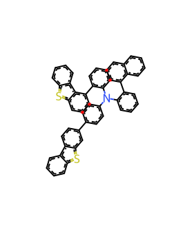 c1ccc(N(c2ccc(-c3ccc4c(c3)sc3ccccc34)cc2)c2ccccc2-c2cccc3sc4ccccc4c23)c(-c2cccc3ccccc23)c1